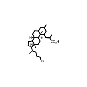 CC(=CC1CC(C)CC2CC[C@@H]3[C@H](CC[C@]4(C)[C@@H]([C@H](C)CCCC(C)C)CC[C@@H]34)[C@@]12C)C(=O)O